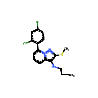 CCCNc1c(SC)nn2c(-c3ccc(Cl)cc3Cl)cccc12